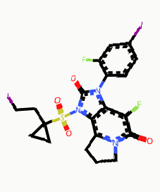 O=c1c(F)c2c(c3n1CCC3)n(S(=O)(=O)C1(CCI)CC1)c(=O)n2-c1ccc(I)cc1F